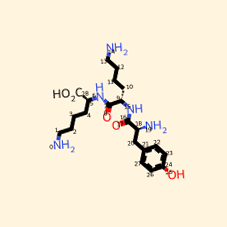 NCCCC[C@H](NC(=O)[C@H](CCCCN)NC(=O)[C@@H](N)Cc1ccc(O)cc1)C(=O)O